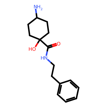 NC1CCC(O)(C(=O)NCCc2ccccc2)CC1